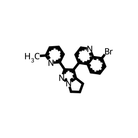 Cc1cccc(-c2nn3c(c2-c2ccnc4c(Br)cccc24)CCC3)n1